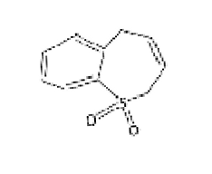 O=S1(=O)CC=CCc2ccccc21